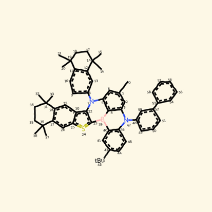 Cc1cc2c3c(c1)N(c1ccc4c(c1)C(C)(C)CCC4(C)C)c1c(sc4cc5c(cc14)C(C)(C)CCC5(C)C)B3c1cc(C(C)(C)C)ccc1N2c1cccc(-c2ccccc2)c1